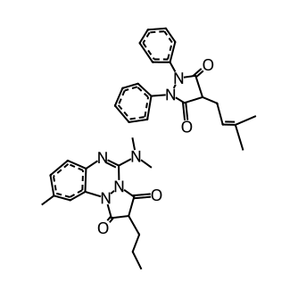 CC(C)=CCC1C(=O)N(c2ccccc2)N(c2ccccc2)C1=O.CCCC1C(=O)N2C(N(C)C)=Nc3ccc(C)cc3N2C1=O